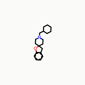 c1ccc2c(c1)CC1(CCN(CC3CCCCC3)CC1)O2